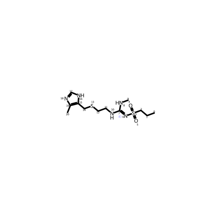 CCCS(=O)(=O)/N=C(\NC)NCCSCc1[nH]cnc1C